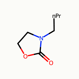 CCCCN1CCOC1=O